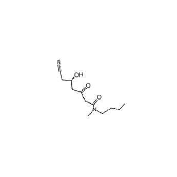 CCCCN(C)C(=O)CC(=O)C[C@H](O)CC#N